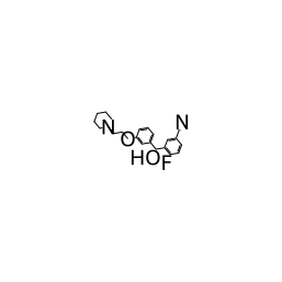 N#Cc1ccc(F)c(C(O)c2cccc(OCCN3CCCCC3)c2)c1